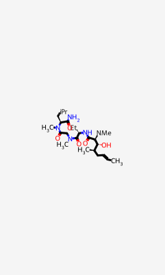 C/C=C/C[C@@H](C)[C@@H](O)[C@H](NC)C(=O)N[C@@H](CC)C(=O)N(C)CC(=O)N(C)[C@@H](CC(C)C)C(N)=O